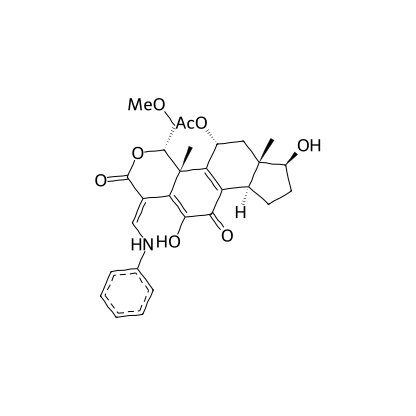 COC[C@H]1OC(=O)/C(=C/Nc2ccccc2)C2=C(O)C(=O)C3=C([C@H](OC(C)=O)C[C@]4(C)[C@@H](O)CC[C@@H]34)[C@]21C